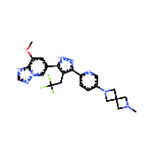 COc1cc(-c2[nH]nc(-c3ccc(N4CC5(CN(C)C5)C4)cn3)c2CC(F)(F)F)cn2ncnc12